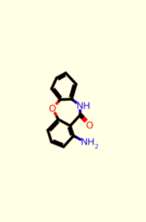 Nc1cccc2c1C(=O)Nc1ccccc1O2